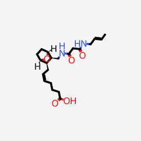 CC=CCNC(=O)CC(=O)NC[C@H]1[C@@H](C/C=C\CCCC(=O)O)[C@H]2CC[C@@H]1O2